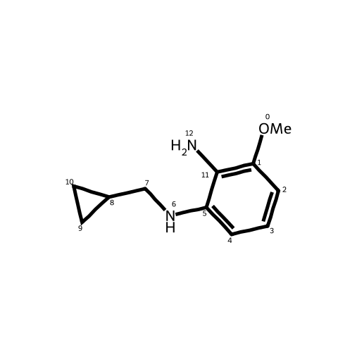 COc1cccc(NCC2CC2)c1N